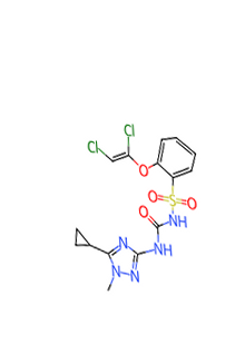 Cn1nc(NC(=O)NS(=O)(=O)c2ccccc2OC(Cl)=CCl)nc1C1CC1